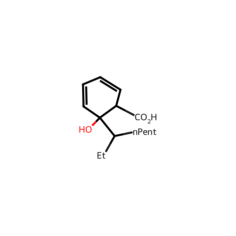 CCCCCC(CC)C1(O)C=CC=CC1C(=O)O